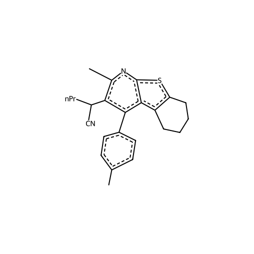 CCCC(C#N)c1c(C)nc2sc3c(c2c1-c1ccc(C)cc1)CCCC3